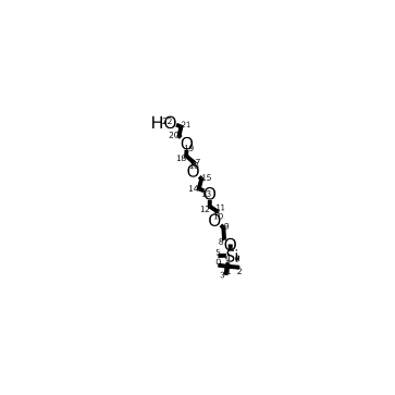 CC(C)(C)[Si](C)(C)OCCOCCOCCOCCOCCO